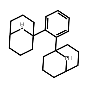 c1ccc(C23CCCC(CCC2)P3)c(C23CCCC(CCC2)P3)c1